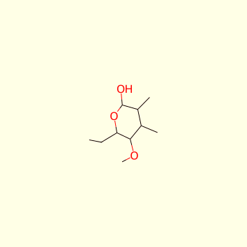 CCC1OC(O)C(C)C(C)C1OC